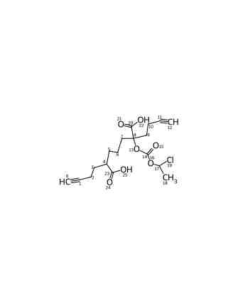 C#CCCC(CCCC(CCC#C)(OC(=O)OC(C)Cl)C(=O)O)C(=O)O